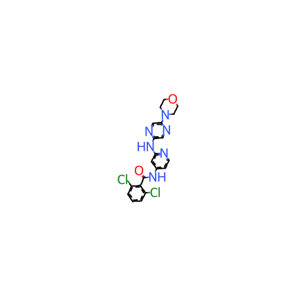 O=C(Nc1ccnc(Nc2cnc(N3CCOCC3)cn2)c1)c1c(Cl)cccc1Cl